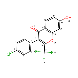 O=c1c(-c2ccc(Cl)cc2)c(C(F)(F)F)oc2cc(O)ccc12